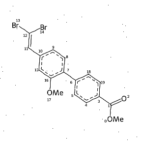 COC(=O)c1ccc(-c2ccc(C=C(Br)Br)cc2OC)cc1